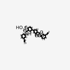 C#Cc1cccc(NC(=O)c2ccc(-c3ccc(C(=O)O)c(C(=O)Nc4cccc(C#C)c4)c3)cc2C(=O)O)c1